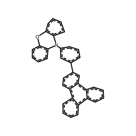 c1cc(-c2ccc3c4ccccc4c4ccccc4c3c2)cc(N2c3ccccc3Oc3ccccc32)c1